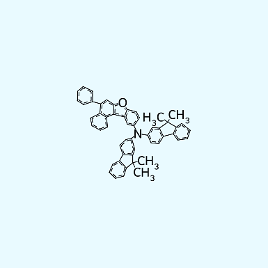 CC1(C)c2ccccc2-c2ccc(N(c3ccc4c(c3)C(C)(C)c3ccccc3-4)c3ccc4oc5cc(-c6ccccc6)c6ccccc6c5c4c3)cc21